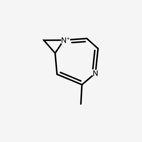 CC1=CC2C[N+]2=CC=N1